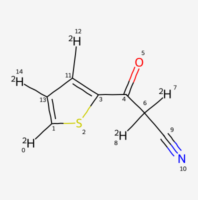 [2H]c1sc(C(=O)C([2H])([2H])C#N)c([2H])c1[2H]